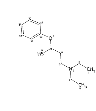 CCN(CC)CCC(S)Oc1cc[c]cc1